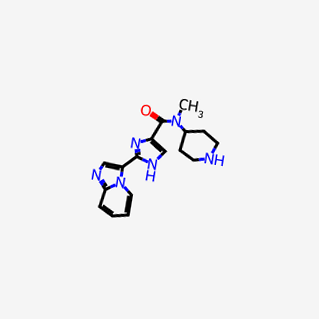 CN(C(=O)c1c[nH]c(-c2cnc3ccccn23)n1)C1CCNCC1